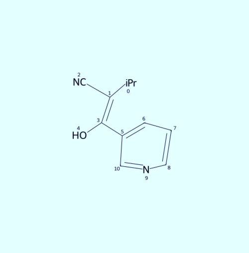 CC(C)/C(C#N)=C(/O)c1cccnc1